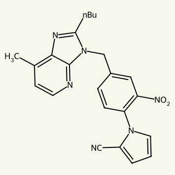 CCCCc1nc2c(C)ccnc2n1Cc1ccc(-n2cccc2C#N)c([N+](=O)[O-])c1